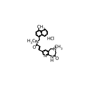 Cc1ccc(CN(C)C(=O)C=Cc2cnc3c(c2)CN(C)CC(=O)N3)c2ccccc12.Cl